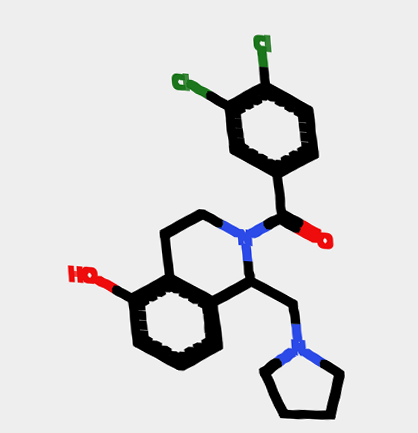 O=C(c1ccc(Cl)c(Cl)c1)N1CCc2c(O)cccc2C1CN1CCCC1